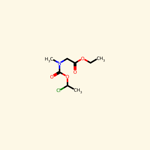 CCOC(=O)CN(C)C(=O)OC(C)Cl